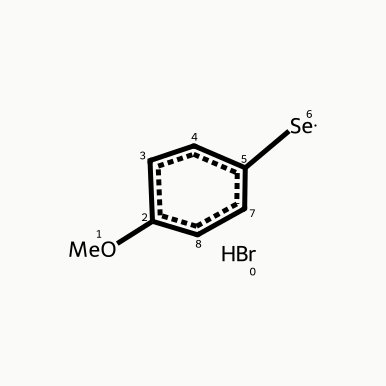 Br.COc1ccc([Se])cc1